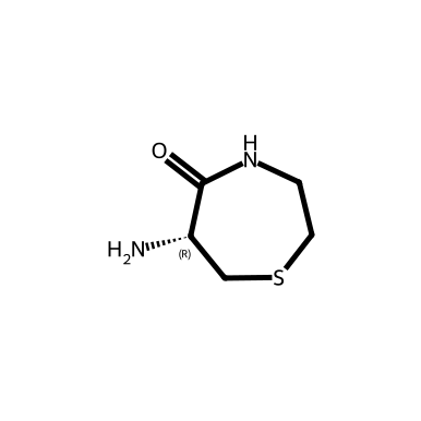 N[C@H]1CSCCNC1=O